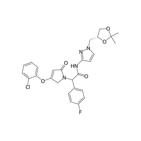 CC1(C)OC[C@@H](Cn2ccc(NC(=O)C(c3ccc(F)cc3)N3CC(Oc4ccccc4Cl)=CC3=O)n2)O1